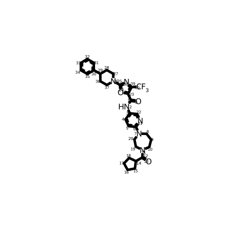 O=C(Nc1ccc(N2CCCN(C(=O)C3CCCC3)CC2)nc1)c1oc(N2CCC(c3ccccc3)CC2)nc1C(F)(F)F